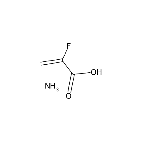 C=C(F)C(=O)O.N